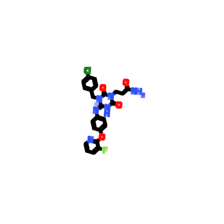 NC(=O)CCn1c(=O)[nH]/c(=N\c2ccc(Oc3ncccc3F)cc2)n(Cc2ccc(Cl)cc2)c1=O